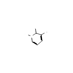 CCC1C(N)=CC=CN1C